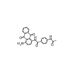 CC(=O)Nc1ccc(C(=O)Nc2ccc(N)c3c2C(=O)c2ccccc2C3=O)cc1